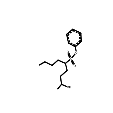 CCCCC(CCC(C)O)S(=O)(=O)Oc1ccccc1